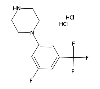 Cl.Cl.Fc1cc(N2CCNCC2)cc(C(F)(F)F)c1